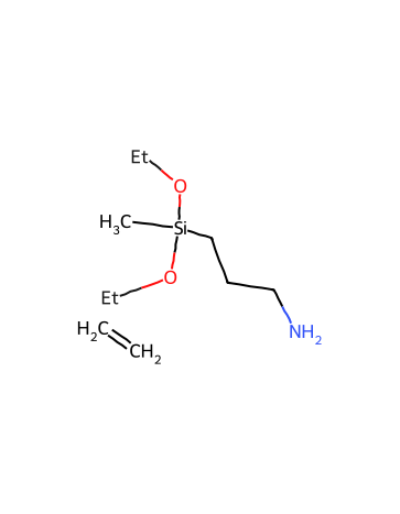 C=C.CCO[Si](C)(CCCN)OCC